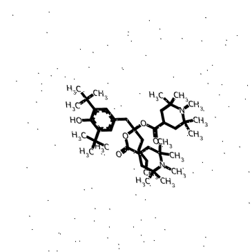 CCCCC(Cc1cc(C(C)(C)C)c(O)c(C(C)(C)C)c1)(OC(=O)C1CC(C)(C)N(C)C(C)(C)C1)OC(=O)C1CC(C)(C)N(C)C(C)(C)C1